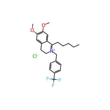 CCCCCC1=[N+](Cc2ccc(C(F)(F)F)cc2)CCc2cc(OC)c(OC)cc21.[Cl-]